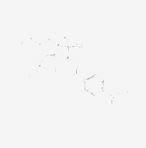 CC(C)(C)OC(=O)C1(CCCCl)CC1(N)C(=O)OCc1ccc([N+](=O)[O-])cc1